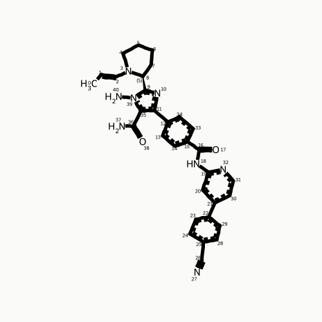 CC=CN1CCCC[C@H]1c1nc(-c2ccc(C(=O)Nc3cc(-c4ccc(C#N)cc4)ccn3)cc2)c(C(N)=O)n1N